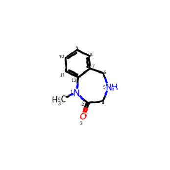 CN1C(=O)CNCc2ccccc21